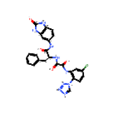 O=C(Nc1cc(Cl)ccc1-n1cnnn1)C(=O)N[C@@H](Cc1ccccc1)C(=O)Nc1ccc2[nH]c(=O)[nH]c2c1